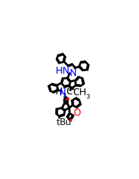 CC(C)(C)c1ccc2c(c1)C1(c3ccccc3Oc3ccccc31)c1ccc(-n3c4ccccc4c4cc(C5N=C(c6ccccc6)C=C(c6ccccc6)N5)c5c(c43)C(C)(C)c3ccccc3-5)cc1-2